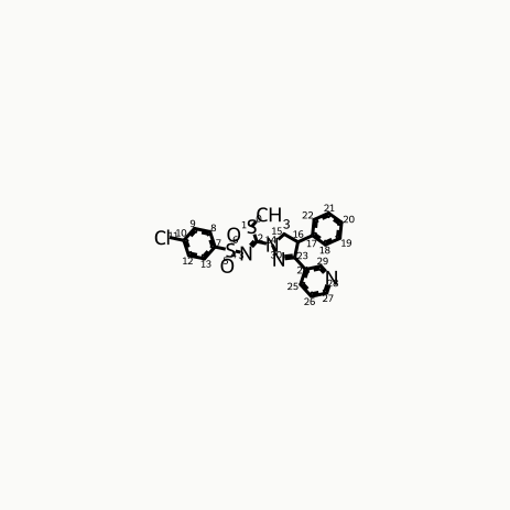 CSC(=NS(=O)(=O)c1ccc(Cl)cc1)N1CC(c2ccccc2)C(c2cccnc2)=N1